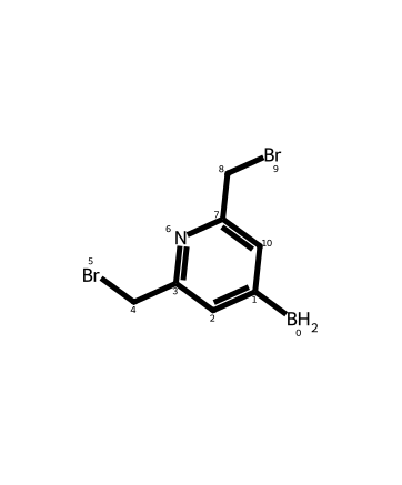 Bc1cc(CBr)nc(CBr)c1